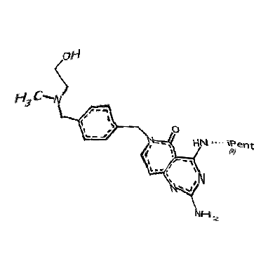 CCC[C@@H](C)Nc1nc(N)nc2ccn(Cc3ccc(CN(C)CCO)cc3)c(=O)c12